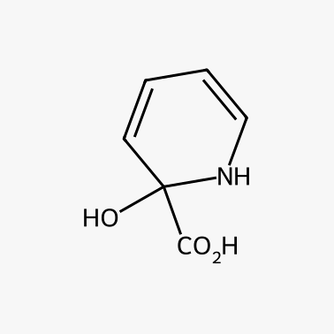 O=C(O)C1(O)C=CC=CN1